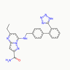 CCc1cc(NCc2ccc(-c3ccccc3-c3nnn[nH]3)cc2)n2nc(C(N)=O)cc2n1